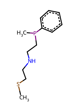 CSCCNCCP(C)c1ccccc1